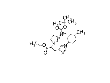 CCOC(=O)C(Cc1cn(C2CCC(C)CC2)cn1)N1CC[C@H](NC(=O)OC(C)(C)C)C1